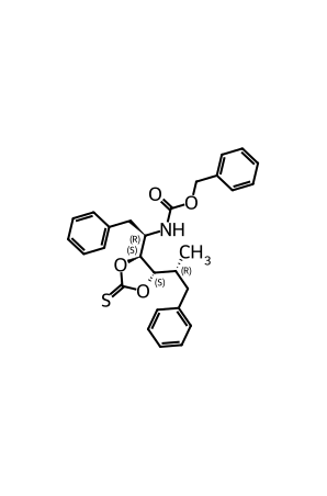 C[C@H](Cc1ccccc1)[C@@H]1OC(=S)O[C@H]1[C@@H](Cc1ccccc1)NC(=O)OCc1ccccc1